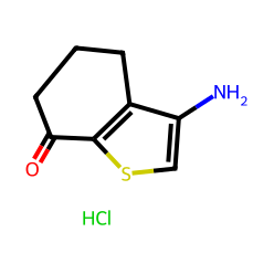 Cl.Nc1csc2c1CCCC2=O